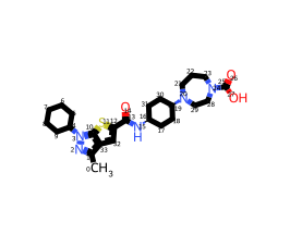 Cc1nn(C2CCCCC2)c2sc(C(=O)N[C@H]3CC[C@H](N4CCCN(C(=O)O)CC4)CC3)cc12